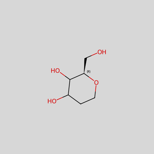 OC[C@H]1OCCC(O)C1O